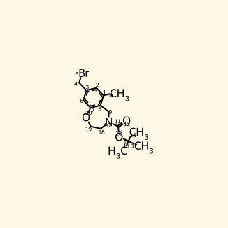 Cc1cc(CBr)cc2c1CN(C(=O)OC(C)(C)C)CCO2